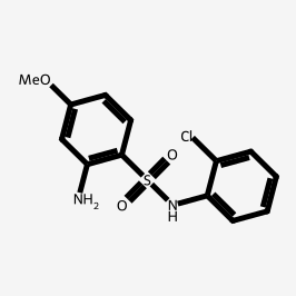 COc1ccc(S(=O)(=O)Nc2ccccc2Cl)c(N)c1